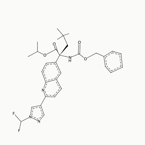 CC(C)OC(=O)[C@](CC(C)(C)C)(NC(=O)OCc1ccccc1)c1ccc2nc(-c3cnn(C(F)F)c3)ccc2c1